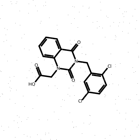 O=C(O)Cn1c(=O)n(Cc2cc(Cl)ccc2Cl)c(=O)c2ccccc21